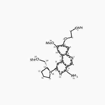 COCCOc1cc2ncc3c(N)nc(N4CCC[C@@H]4COC)cc3c2cc1OC